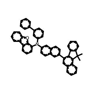 CC1(C)c2ccccc2-c2c(-c3ccc4cc(N(c5cccc(-c6ccccc6)c5)c5cccc6c5oc5ccccc56)ccc4c3)cc3ccccc3c21